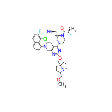 C=C(F)C(=O)N1CCN(c2nc(OCC34CCCN3C(COC)CC4)nc3c2CCN(c2cccc4ccc(F)c(Cl)c24)C3)C[C@@H]1CC#N